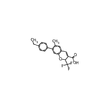 CCc1ccc(-c2cc3c(cc2C)C=C(C(=O)O)C(C(F)(F)F)O3)cc1